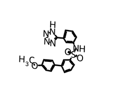 COc1ccc(-c2cccc(S(=O)(=O)Nc3cccc(-c4nnn[nH]4)c3)c2)cc1